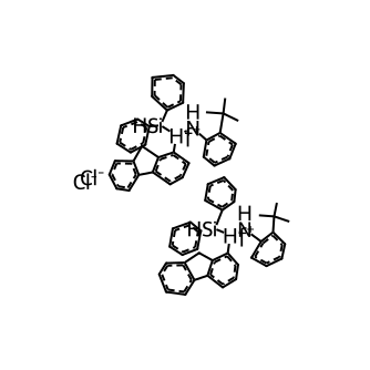 CC(C)(C)c1ccccc1[NH][Hf+]([c]1cccc2c1Cc1ccccc1-2)[SiH](c1ccccc1)c1ccccc1.CC(C)(C)c1ccccc1[NH][Hf+]([c]1cccc2c1Cc1ccccc1-2)[SiH](c1ccccc1)c1ccccc1.[Cl-].[Cl-]